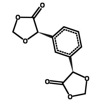 O=C1OCO[C@H]1c1cccc([C@@H]2OCOC2=O)c1